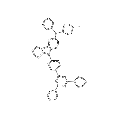 Cc1ccc(N(c2ccccc2)c2ccc3c(c2)c2ccccc2n3-c2ccc(-c3nc(-c4ccccc4)nc(-c4ccccc4)n3)cc2)cc1